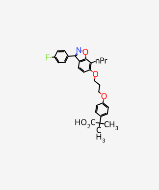 CCCc1c(OCCCOc2ccc(C(C)(C)C(=O)O)cc2)ccc2c(-c3ccc(F)cc3)noc12